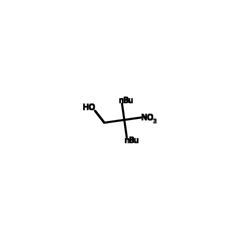 CCCCC(CO)(CCCC)[N+](=O)[O-]